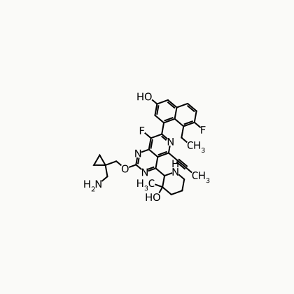 CC#Cc1nc(-c2cc(O)cc3ccc(F)c(CC)c23)c(F)c2nc(OCC3(CN)CC3)nc(C3NCCCC3(C)O)c12